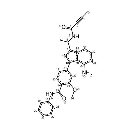 CC#CC(=O)NC(C)c1nc(-c2ccc(C(=O)Nc3ccccn3)c(OC)c2)c2c(N)nccn12